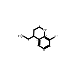 NCC1CCOc2c(F)cccc21